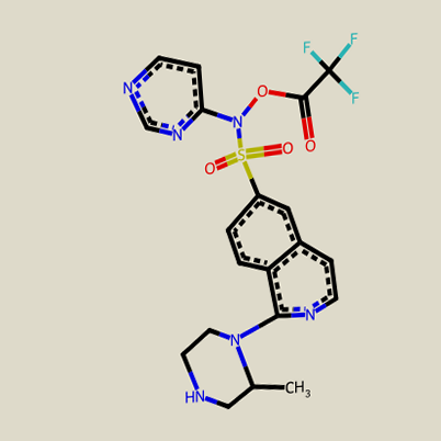 CC1CNCCN1c1nccc2cc(S(=O)(=O)N(OC(=O)C(F)(F)F)c3ccncn3)ccc12